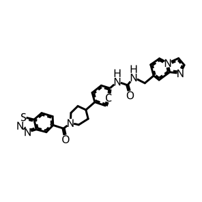 O=C(NCc1ccn2ccnc2c1)Nc1ccc(C2CCN(C(=O)c3ccc4snnc4c3)CC2)cc1